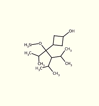 CC(C)C(C(C)C)C(O[SiH3])(C(C)C)C1CC(O)C1